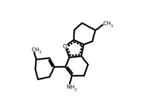 CC1C=C(C2=C(N)CCc3c2oc2c3CC(C)CC2)CCC1